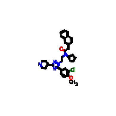 COc1ccc(-c2nc(-c3ccncc3)nn2CCN(C(=O)Cc2ccc3ccccc3c2)C2CCCC2)cc1Cl